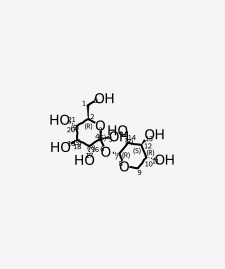 OC[C@H]1O[C@](O)(O[C@H]2OC[C@@H](O)[C@H](O)[C@H]2O)[C@H](O)[C@@H](O)[C@@H]1O